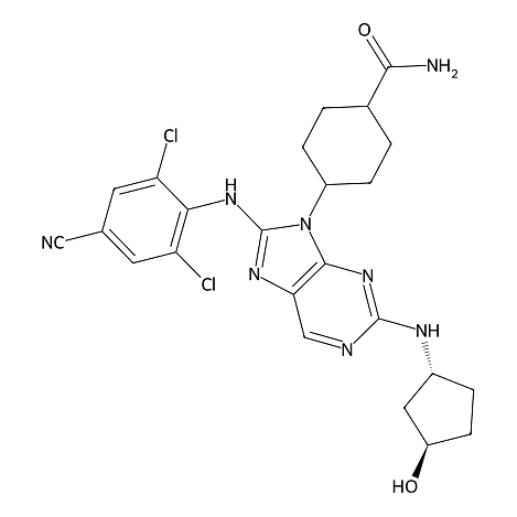 N#Cc1cc(Cl)c(Nc2nc3cnc(N[C@@H]4CC[C@@H](O)C4)nc3n2C2CCC(C(N)=O)CC2)c(Cl)c1